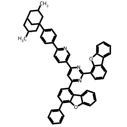 CC1CC2CC(C)CC(c3ccc(-c4ccc(-c5cc(-c6ccc(-c7ccccc7)c7oc8ccccc8c67)nc(-c6cccc7c6oc6ccccc67)n5)cn4)cc3)(C1)C2